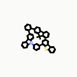 CC1(C)c2ccccc2-c2ccc(-c3ccccc3-c3ccc4c(c3)c3ccccc3n4-c3cccc(-c4cccc5c4sc4ccccc45)c3)cc21